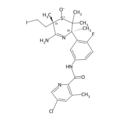 Cc1cc(Cl)cnc1C(=O)Nc1ccc(F)c([C@@]2(C)N=C(N)[C@](C)(CCI)[S+]([O-])C2(C)C)c1